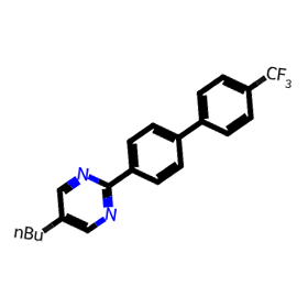 CCCCc1cnc(-c2ccc(-c3ccc(C(F)(F)F)cc3)cc2)nc1